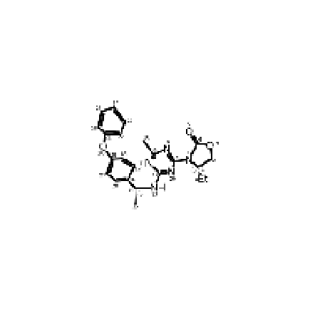 CC[C@H]1COC(=O)N1c1nc(C)nc(N[C@@H](C)c2ccc(Oc3ccccc3)cc2)n1